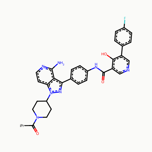 CC(C)C(=O)N1CCC(n2nc(-c3ccc(NC(=O)c4cncc(-c5ccc(F)cc5)c4O)cc3)c3c(N)nccc32)CC1